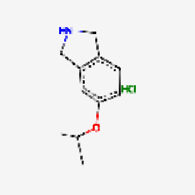 CC(C)Oc1ccc2c(c1)CNC2.Cl